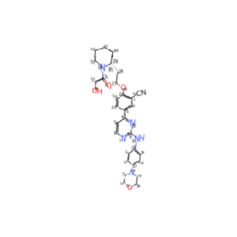 N#Cc1cc(-c2ccnc(Nc3ccc(N4CCOCC4)cc3)n2)ccc1OCC[C@H]1CCCCN1C(=O)CO